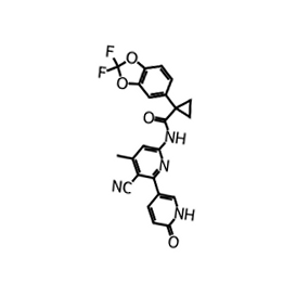 Cc1cc(NC(=O)C2(c3ccc4c(c3)OC(F)(F)O4)CC2)nc(-c2ccc(=O)[nH]c2)c1C#N